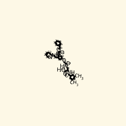 Cc1cc(C)cc(C(=O)NC(CNC(=O)COC2CC(CNc3ccccn3)N(OC(=O)OCc3ccccc3)C2)C(=O)O)c1